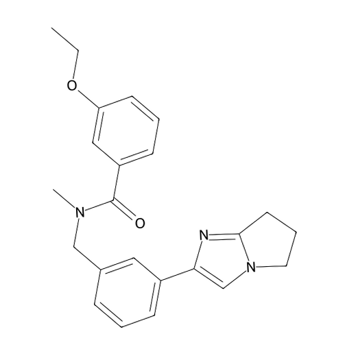 CCOc1cccc(C(=O)N(C)Cc2cccc(-c3cn4c(n3)CCC4)c2)c1